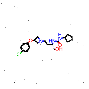 O=C(NC1CCCC1)N[C@H](CO)CCN1CC(Oc2ccc(Cl)cc2)C1